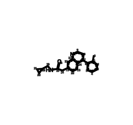 Cc1ccccc1-c1ccnc2cc(CC(=O)NCC3CC3)ccc12